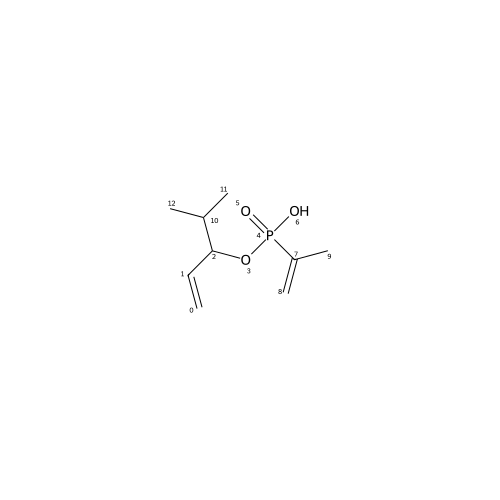 C=CC(OP(=O)(O)C(=C)C)C(C)C